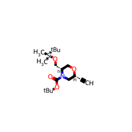 C#C[C@@H]1CN(C(=O)OC(C)(C)C)[C@H](CO[Si](C)(C)C(C)(C)C)CO1